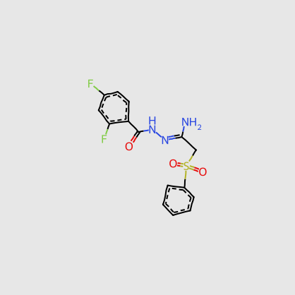 NC(CS(=O)(=O)c1ccccc1)=NNC(=O)c1ccc(F)cc1F